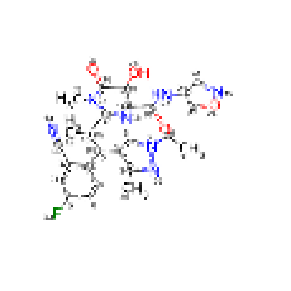 CCn1cc([C@@H](c2ccc(F)cc2C#N)[C@@H](C)c2nc(C(=O)Nc3cnoc3)c(O)c(=O)n2C)c(C)n1